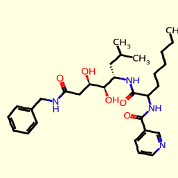 CCCCCCC(NC(=O)c1cccnc1)C(=O)N[C@@H](CC(C)C)[C@@H](O)[C@H](O)CC(=O)NCc1ccccc1